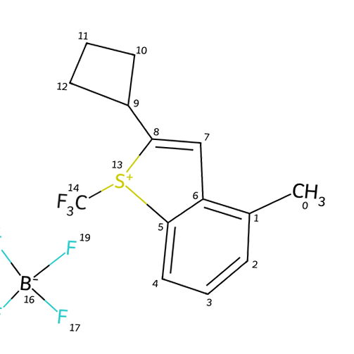 Cc1cccc2c1cc(C1CCC1)[s+]2C(F)(F)F.F[B-](F)(F)F